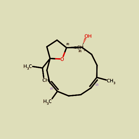 C/C1=C/CC2(C(C)C)CC[C@@](C)(O2)[C@H](O)CC/C(C)=C\CC1